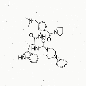 C[C@@H](c1c[nH]c2ccccc12)[C@@H](NC(=O)N1CCN(c2ccccc2)CC1)C(=O)Nc1cc(CN(C)C)ccc1C(=O)N1CCCC1